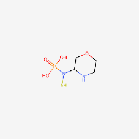 O=P(O)(O)N(S)C1COCCN1